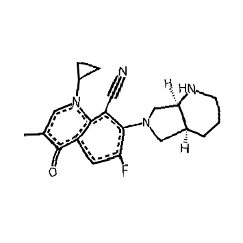 Cc1cn(C2CC2)c2c(C#N)c(N3C[C@@H]4CCCN[C@@H]4C3)c(F)cc2c1=O